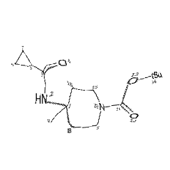 CC1(NC(=O)C2CC2)CCN(C(=O)OC(C)(C)C)CC1